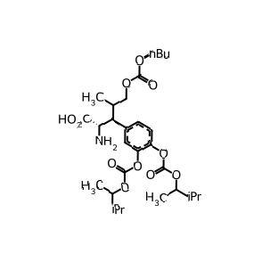 CCCCOC(=O)OCC(C)C(c1ccc(OC(=O)OC(C)C(C)C)c(OC(=O)OC(C)C(C)C)c1)[C@H](N)C(=O)O